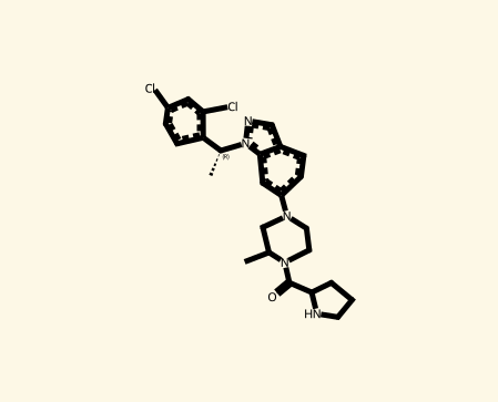 CC1CN(c2ccc3cnn([C@H](C)c4ccc(Cl)cc4Cl)c3c2)CCN1C(=O)C1CCCN1